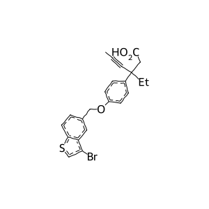 CC#CC(CC)(CC(=O)O)c1ccc(OCc2ccc3scc(Br)c3c2)cc1